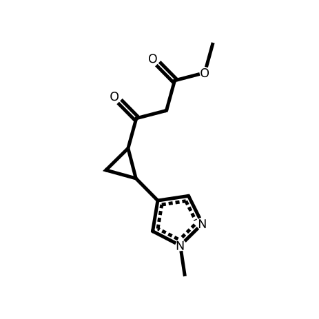 COC(=O)CC(=O)C1CC1c1cnn(C)c1